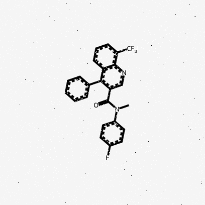 CN(C(=O)c1cnc2c(C(F)(F)F)cccc2c1-c1ccccc1)c1ccc(F)cc1